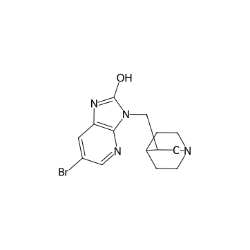 Oc1nc2cc(Br)cnc2n1CC1CN2CCC1CC2